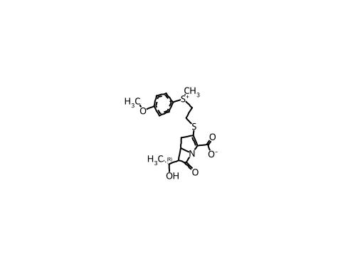 COc1ccc([S+](C)CCSC2=C(C(=O)[O-])N3C(=O)C([C@@H](C)O)C3C2)cc1